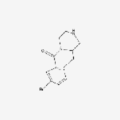 O=C1c2cc(Br)ccc2CC2CNCCN12